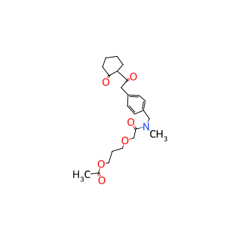 CC(=O)OCCCOCC(=O)N(C)Cc1ccc(CC(=O)C2CCCCC2=O)cc1